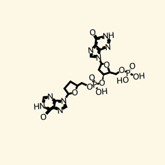 O=c1[nH]cnc2c1ncn2C1CCC(COP(=O)(O)O[C@H]2CC(n3cnc4c(=O)[nH]cnc43)OC2COP(=O)(O)O)O1